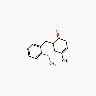 COc1ccccc1CC1CC(C)=CCC1=O